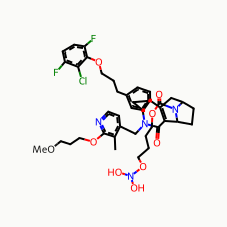 COCCCOc1nccc(CN(C(=O)C2=C(c3ccc(CCCOc4c(F)ccc(F)c4Cl)cc3)CC3CCC2N3C(=O)OCCCCON(O)O)C2CC2)c1C